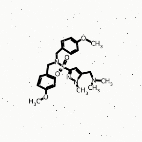 COc1ccc(CN(Cc2ccc(OC)cc2)S(=O)(=O)c2cc(CN(C)C)n(C)n2)cc1